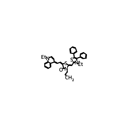 C=CCn1c(=Cc2sc(-c3ccccc3)c(-c3ccccc3)[n+]2CC)sc(=CC=C2C=CN(CC)c3ccccc32)c1=O